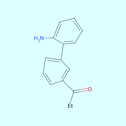 CCC(=O)c1cccc(-c2ccccc2N)c1